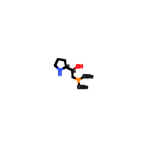 COP(C[C@@H](O)[C@@H]1CCCN1)OC